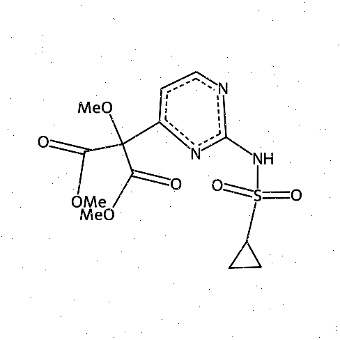 COC(=O)C(OC)(C(=O)OC)c1ccnc(NS(=O)(=O)C2CC2)n1